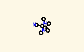 c1ccc(N2c3ccccc3B3c4ccccc4N(c4ccccc4)c4cc(-c5ccncc5)cc2c43)cc1